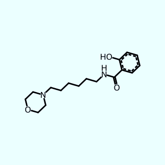 O=C(NCCCCCCN1CCOCC1)c1ccccc1O